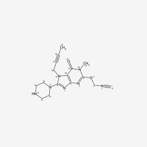 [C-]#[N+]COc1nc2nc(N3CCNCC3)n(CC#CC)c2c(=O)n1C